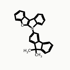 CC1(C)c2ccccc2-c2cc(-n3c4ccccc4c4c5ccccc5oc43)ccc21